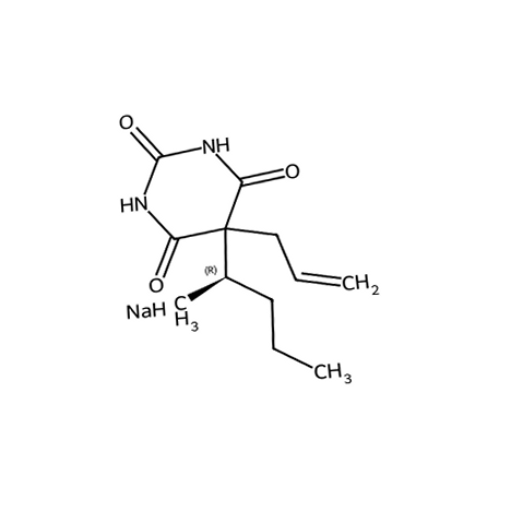 C=CCC1([C@H](C)CCC)C(=O)NC(=O)NC1=O.[NaH]